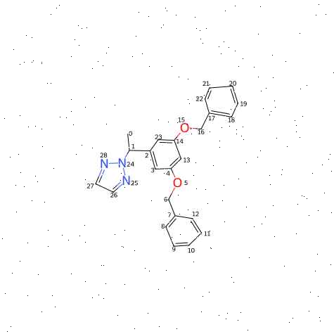 CC(c1cc(OCc2ccccc2)cc(OCc2ccccc2)c1)n1nccn1